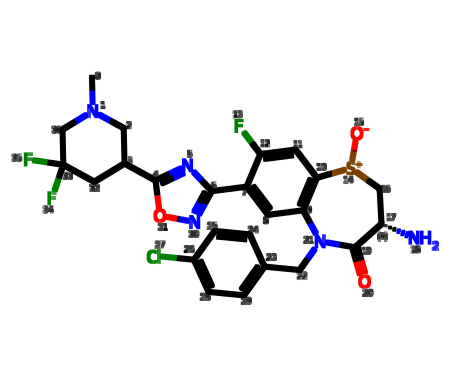 CN1CC(c2nc(-c3cc4c(cc3F)[S+]([O-])C[C@H](N)C(=O)N4Cc3ccc(Cl)cc3)no2)CC(F)(F)C1